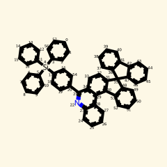 c1ccc([Si](c2ccccc2)(c2ccccc2)c2ccc(-c3nc4ccccc4c4c5c(ccc34)C3(c4ccccc4-c4ccccc43)c3ccccc3-5)cc2)cc1